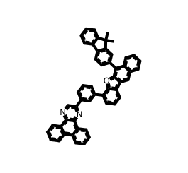 CC1(C)c2ccccc2-c2ccc(-c3c4ccccc4cc4c3oc3c(-c5cccc(-c6cnc7c8ccccc8c8ccccc8c7n6)c5)cccc34)cc21